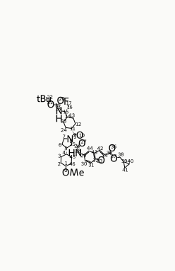 COC1CCC([C@@H]2CCN(C(=O)[C@H]3CC[C@H]([C@@H](CF)NC(=O)OC(C)(C)C)CC3)[C@@H]2C(=O)Nc2ccc3oc(C(=O)OCC4CC4)cc3c2)CC1